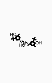 Cc1cc(SCN(O)CSc2cc(C)c(O)c(C(C)(C)C)c2)cc(C(C)(C)C)c1O